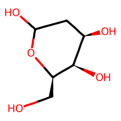 OC[C@H]1OC(O)C[C@@H](O)[C@H]1O